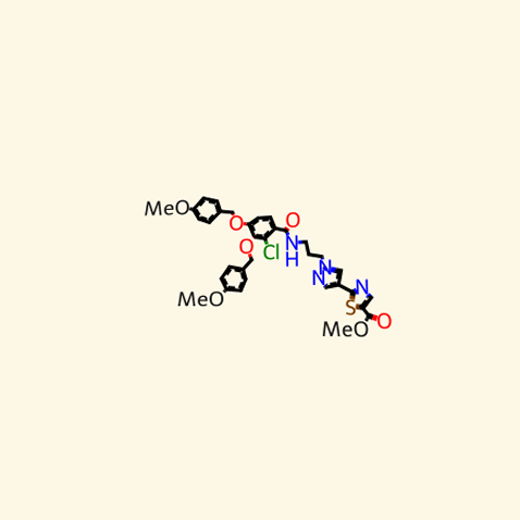 COC(=O)c1cnc(-c2cnn(CCCNC(=O)c3ccc(OCc4ccc(OC)cc4)c(OCc4ccc(OC)cc4)c3Cl)c2)s1